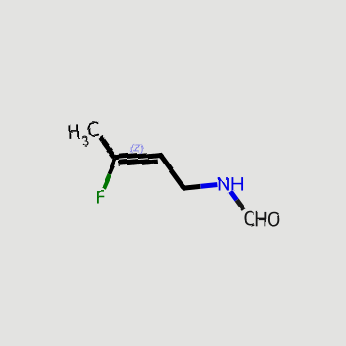 C/C(F)=C/CNC=O